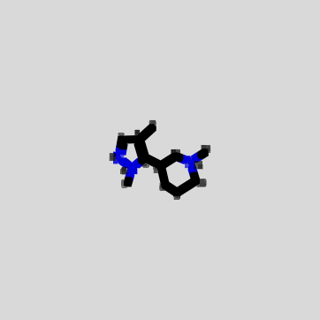 Cc1cnn(C)c1C1CCCN(C)C1